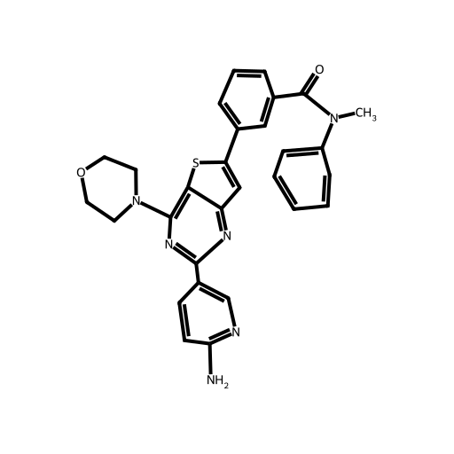 CN(C(=O)c1cccc(-c2cc3nc(-c4ccc(N)nc4)nc(N4CCOCC4)c3s2)c1)c1ccccc1